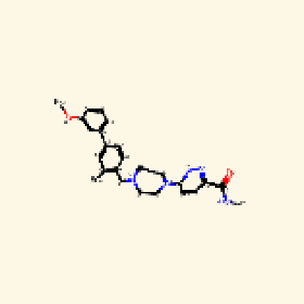 CCCNC(=O)c1ccc(N2CCN(Cc3ccc(-c4cccc(OCC)c4)cc3CC)CC2)nn1